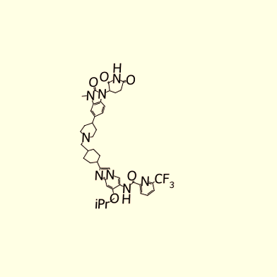 CC(C)Oc1cc2nc(C3CCC(CN4CCC(c5ccc6c(c5)n(C)c(=O)n6C5CCC(=O)NC5=O)CC4)CC3)cn2cc1NC(=O)c1cccc(C(F)(F)F)n1